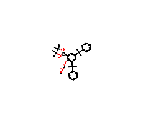 COCOc1c(B2OC(C)(C)C(C)(C)O2)cc(C(C)(C)c2ccccc2)cc1C(C)(C)c1ccccc1